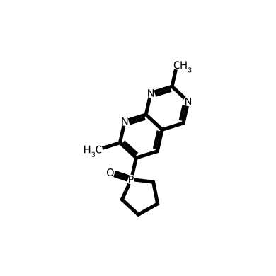 Cc1ncc2cc(P3(=O)CCCC3)c(C)nc2n1